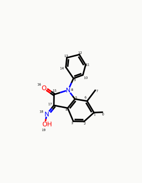 Cc1ccc2c(c1C)N(c1ccccc1)C(=O)/C2=N/O